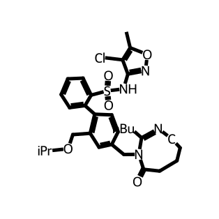 CCCC/C1=N/CCCCC(=O)N1Cc1ccc(-c2ccccc2S(=O)(=O)Nc2noc(C)c2Cl)c(COC(C)C)c1